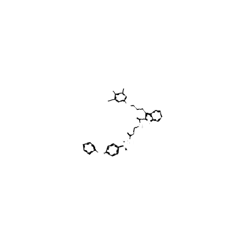 Cc1cc(OCCCc2c(C(=O)NCCC(=O)NS(=O)(=O)c3ccc(Oc4ccccc4)cc3)[nH]c3ccccc23)cc(C)c1Cl